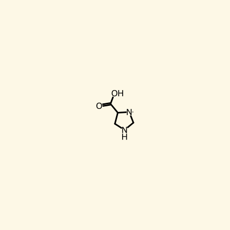 O=C(O)C1CNC[N]1